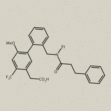 CCN(Cc1ccccc1-c1cc(CC(=O)O)c(C(F)(F)F)cc1OC)C(=O)CCc1ccccc1